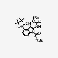 CC(C)(C)OC(=O)Nc1c(C#N)c2c(B3OC(C)(C)C(C)(C)O3)cccc2n1C(=O)OC(C)(C)C